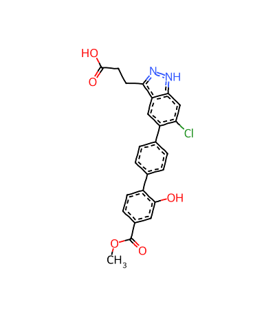 COC(=O)c1ccc(-c2ccc(-c3cc4c(CCC(=O)O)n[nH]c4cc3Cl)cc2)c(O)c1